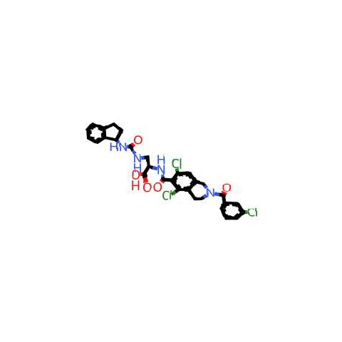 O=C(NCC(NC(=O)c1c(Cl)cc2c(c1Cl)CCN(C(=O)c1cccc(Cl)c1)C2)C(=O)O)NC1CCc2ccccc21